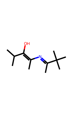 CC(/N=C(\C)C(C)(C)C)=C(/O)C(C)C